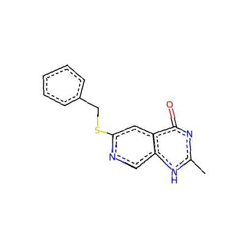 Cc1nc(=O)c2cc(SCc3ccccc3)ncc2[nH]1